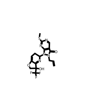 C=CCn1c(=O)c2cnc(SC)nc2n1C1CC=C2OCC(O)(C(F)(F)F)C2=N1